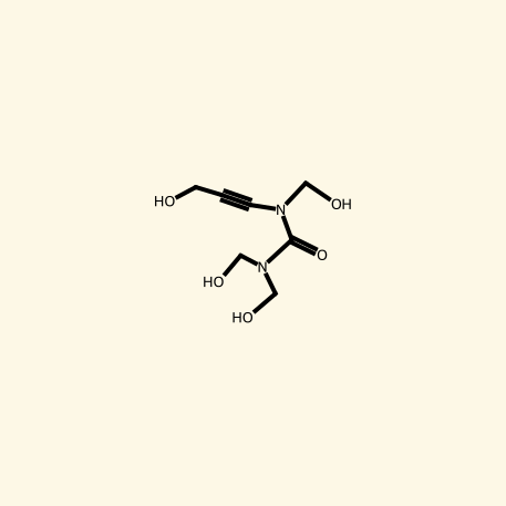 O=C(N(C#CCO)CO)N(CO)CO